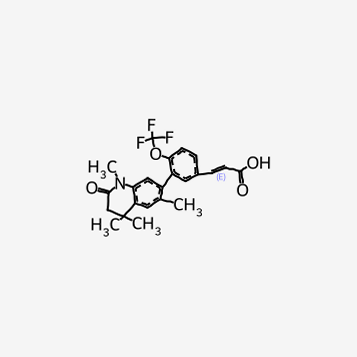 Cc1cc2c(cc1-c1cc(/C=C/C(=O)O)ccc1OC(F)(F)F)N(C)C(=O)CC2(C)C